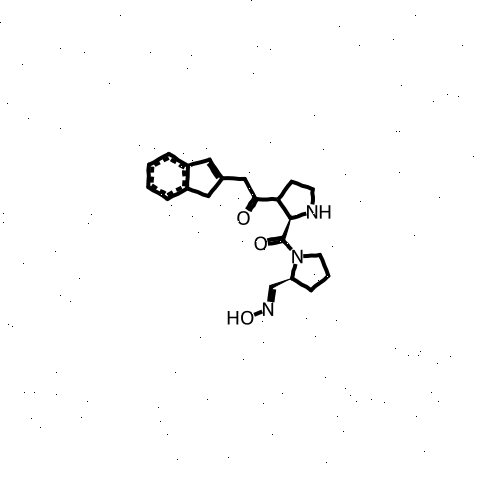 O=C(CC1=Cc2ccccc2C1)C1CCN[C@H]1C(=O)N1CCC[C@H]1C=NO